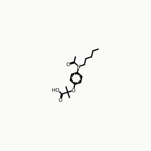 CCCCCN(C(C)=O)c1ccc(OC(C)(C)C(=O)O)cc1